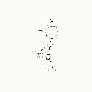 CC(=O)N[C@H]1CC(=O)NCCCC[C@@H](C(=O)N[C@@H](CCCNC(=N)N)C(=O)c2nc3ccc(C(=O)N[C@@H](C(N)=O)C(C)C)cc3s2)NC(=O)[C@H](CC(C)C)NC1=O